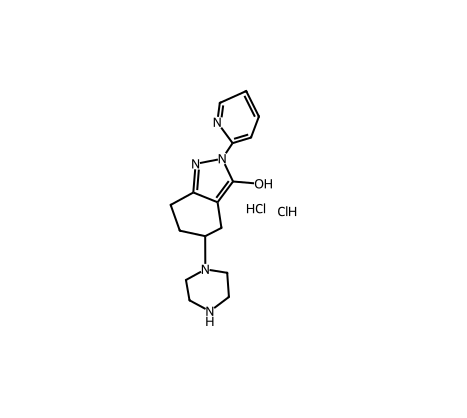 Cl.Cl.Oc1c2c(nn1-c1ccccn1)CCC(N1CCNCC1)C2